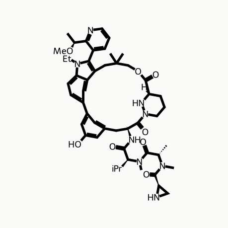 CCn1c(-c2cccnc2[C@H](C)OC)c2c3cc(ccc31)-c1cc(O)cc(c1)C[C@H](NC(=O)[C@H](C(C)C)N(C)C(=O)[C@H](C)N(C)C(=O)[C@H]1CN1)C(=O)N1CCC[C@H](N1)C(=O)OCC(C)(C)C2